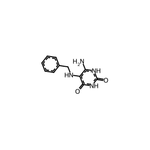 Nc1[nH]c(=O)[nH]c(=O)c1NCc1ccccc1